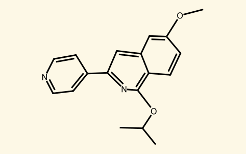 COc1ccc2c(OC(C)C)nc(-c3ccncc3)cc2c1